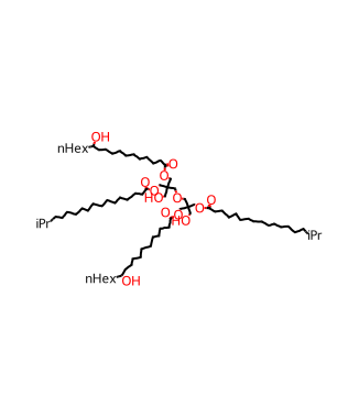 CCCCCCC(O)CCCCCCCCCCC(=O)OCC(CO)(COCC(CO)(COC(=O)CCCCCCCCCCCCCCC(C)C)COC(=O)CCCCCCCCCCC(O)CCCCCC)COC(=O)CCCCCCCCCCCCCCC(C)C